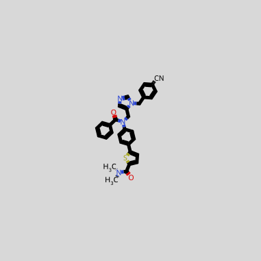 CN(C)C(=O)c1ccc(-c2ccc(N(Cc3cncn3Cc3ccc(C#N)cc3)C(=O)c3ccccc3)cc2)s1